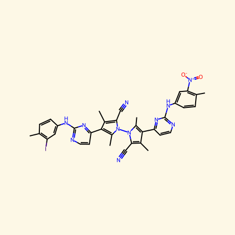 Cc1ccc(Nc2nccc(-c3c(C)c(C#N)n(-n4c(C)c(-c5ccnc(Nc6ccc(C)c([N+](=O)[O-])c6)n5)c(C)c4C#N)c3C)n2)cc1I